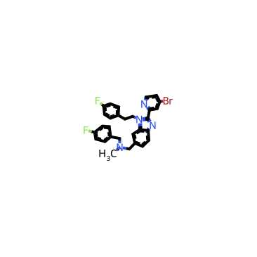 CN(Cc1ccc(F)cc1)Cc1ccc2nc(-c3cc(Br)ccn3)n(CCc3ccc(F)cc3)c2c1